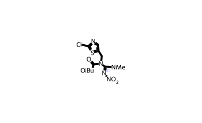 CN/C(=N\[N+](=O)[O-])N(Cc1cnc(Cl)s1)C(=O)OCC(C)C